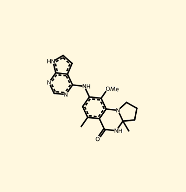 COc1c(Nc2ncnc3[nH]ccc23)cc(C)c2c1N1CCCC1(C)NC2=O